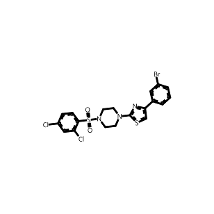 O=S(=O)(c1ccc(Cl)cc1Cl)N1CCN(c2nc(-c3cccc(Br)c3)cs2)CC1